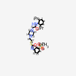 CC(C)c1cccc(C(C)C)c1NC(=O)CN1CCN(CCSc2nc3cccc(S(C)(=O)=O)c3o2)CC1